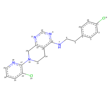 Clc1ccc(CCNc2ncnc3c2CCN(c2ncccc2Cl)C3)cc1